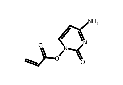 C=CC(=O)On1ccc(N)nc1=O